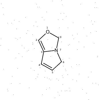 [CH]1OC=C2C=CCN12